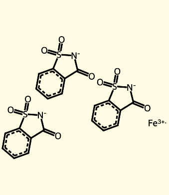 O=C1[N-]S(=O)(=O)c2ccccc21.O=C1[N-]S(=O)(=O)c2ccccc21.O=C1[N-]S(=O)(=O)c2ccccc21.[Fe+3]